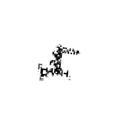 C=C[C@](CC(=C)c1cc(F)cc(F)c1)(ON)C(=O)N[C@H]1CO[C@@H](C(=O)OC)C1